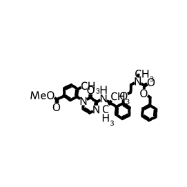 COC(=O)c1ccc(C)c(-n2ccnc(NC(C)(C)c3ccccc3OCCN(C)C(=O)OCc3ccccc3)c2=O)c1